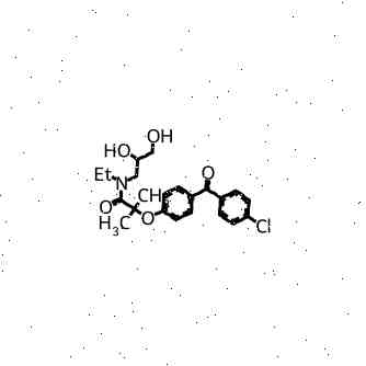 CCN(CC(O)CO)C(=O)C(C)(C)Oc1ccc(C(=O)c2ccc(Cl)cc2)cc1